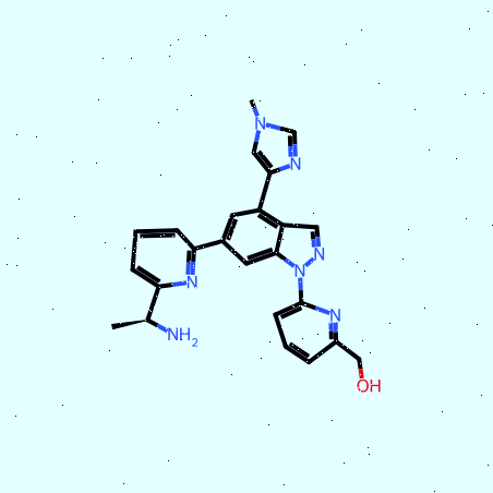 C[C@H](N)c1cccc(-c2cc(-c3cn(C)cn3)c3cnn(-c4cccc(CO)n4)c3c2)n1